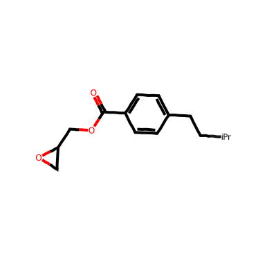 CC(C)CCc1ccc(C(=O)OCC2CO2)cc1